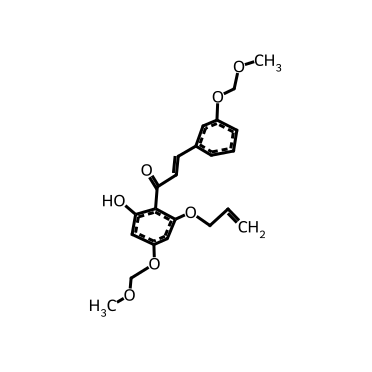 C=CCOc1cc(OCOC)cc(O)c1C(=O)C=Cc1cccc(OCOC)c1